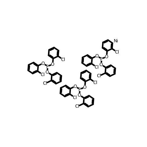 Clc1ccccc1OP(Oc1ccccc1Cl)Oc1ccccc1Cl.Clc1ccccc1OP(Oc1ccccc1Cl)Oc1ccccc1Cl.Clc1ccccc1OP(Oc1ccccc1Cl)Oc1ccccc1Cl.[Ni]